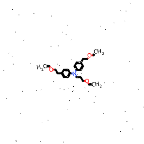 C=COCCCN(c1ccc(CCOC=C)cc1)c1ccc(CCOC=C)cc1